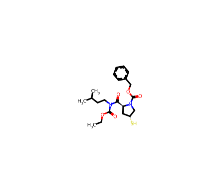 CCOC(=O)N(CCC(C)C)C(=O)[C@@H]1C[C@@H](S)CN1C(=O)OCc1ccccc1